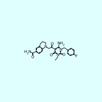 CCn1c(=O)c(C(=O)CN2CCCc3cc(C(N)=O)ccc32)c(N)n(Cc2ccc(F)cc2)c1=O